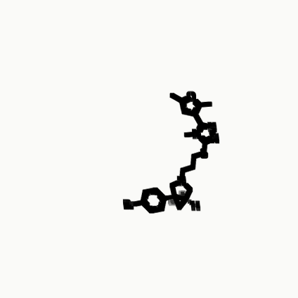 Cc1cc(-c2nnc(SCCCN3C[C@H]4C[C@]4(c4ccc(Br)cc4)C3)n2C)c(C)o1